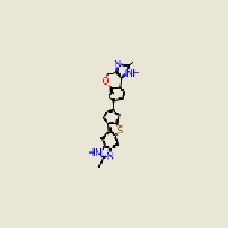 Cc1nc2c([nH]1)-c1ccc(-c3ccc4c(c3)sc3cc5nc(C)[nH]c5cc34)cc1OC2